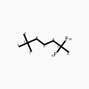 CC(C)(C)CCCC(C)(F)F